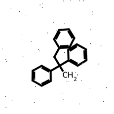 [CH2]C(Cc1ccccc1)(c1ccccc1)c1ccccc1